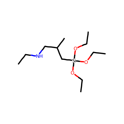 CCNCC(C)C[Si](OCC)(OCC)OCC